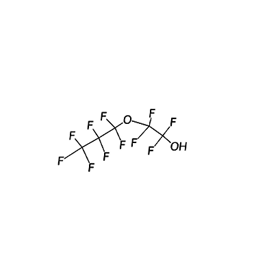 OC(F)(F)C(F)(F)OC(F)(F)C(F)(F)C(F)(F)F